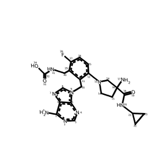 Nc1ncnc2c1ncn2Cc1c(N2CCC(N)(C(=O)NC3CC3)C2)ccc(F)c1CNC(=O)O